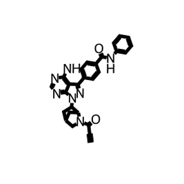 C#CC(=O)N1CC2CC1C(n1nc(-c3ccc(C(=O)Nc4ccccc4)cc3)c3c(N)ncnc31)C2